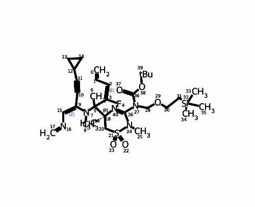 C=C/C=C(/F)C(C)(N(C)/C(C#CC1CC1)=C\N=C)[C@]1(C)CS(=O)(=O)N(C)C(N(COCC[Si](C)(C)C)C(=O)OC(C)(C)C)=N1